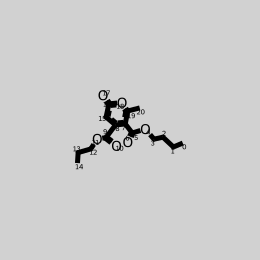 CCCCOC(=O)c1c(C(=O)OCCC)cc(=O)oc1C